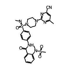 CN=S(=O)(c1ccc(NC(=O)c2ccccc2N(C)S(C)(=O)=O)cc1)N1CCN(c2nc(C)cc(C#N)n2)CC1